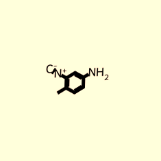 [C-]#[N+]c1cc(N)ccc1C